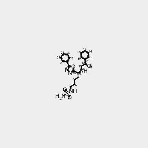 NS(=O)(=O)NCCCC[C@H](NCC(=O)c1ccccc1)c1nnc(-c2ccccc2)o1